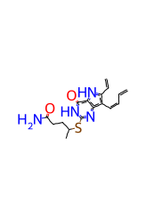 C=C/C=C\c1c(C=C)[nH]c2c(=O)[nH]c(SC(C)CCC(N)=O)nc12